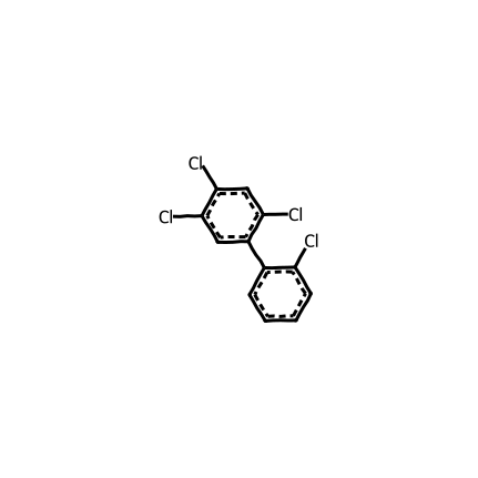 Clc1cc(Cl)c(-c2ccccc2Cl)cc1Cl